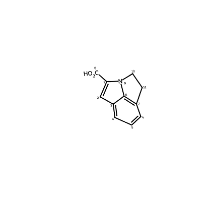 O=C(O)c1cc2cccc3c2n1CC3